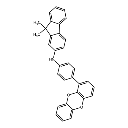 CC1(C)c2ccccc2-c2ccc(Nc3ccc(-c4cccc5c4Oc4ccccc4O5)cc3)cc21